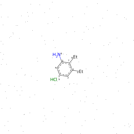 CCc1cccc(N)c1CC.Cl